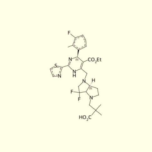 CCOC(=O)C1=C(CN2CC(F)(F)C3[C@@H]2CCN3CC(C)(C)C(=O)O)NC(c2nccs2)=N[C@H]1c1cccc(F)c1C